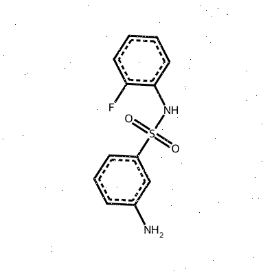 Nc1cccc(S(=O)(=O)Nc2ccccc2F)c1